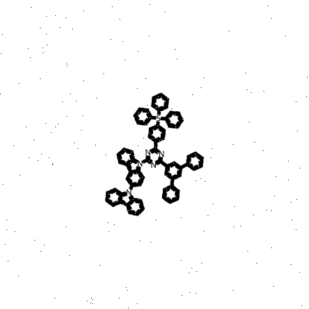 c1ccc(-c2cc(-c3ccccc3)cc(-c3nc(-c4ccc(S(c5ccccc5)(c5ccccc5)c5ccccc5)cc4)nc(-n4c5ccccc5c5cc(-n6c7ccccc7c7ccccc76)ccc54)n3)c2)cc1